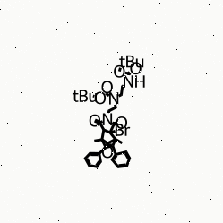 CC(C)(C)OC(=O)NCCN(CCN1C(=O)C2C3(C)C(=O)C(C)(C(c4ccccc4)=C3c3ccccc3)C2(Br)C1=O)C(=O)OC(C)(C)C